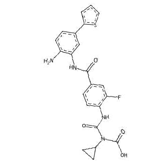 Nc1ccc(-c2cccs2)cc1NC(=O)c1ccc(NC(=O)N(C(=O)O)C2CC2)c(F)c1